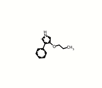 CCCOc1c[nH][c]c1-c1ccccc1